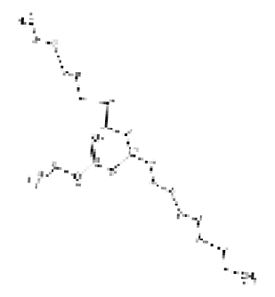 CCCCCCCCCN(CCCCCCCCC)CC(=O)OCC